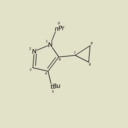 CCCn1ncc(C(C)(C)C)c1C1CC1